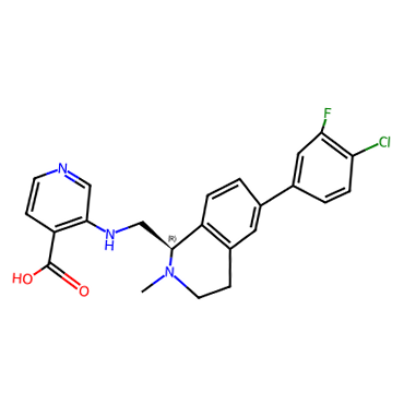 CN1CCc2cc(-c3ccc(Cl)c(F)c3)ccc2[C@@H]1CNc1cnccc1C(=O)O